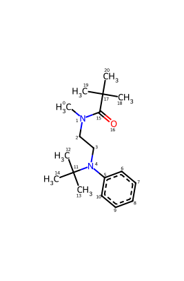 CN(CCN(c1ccccc1)C(C)(C)C)C(=O)C(C)(C)C